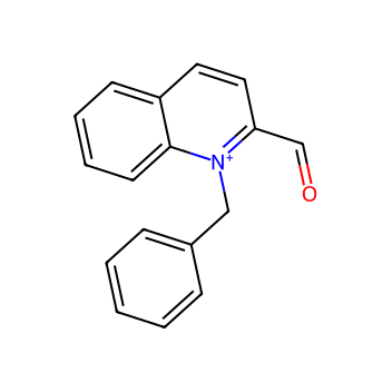 O=Cc1ccc2ccccc2[n+]1Cc1ccccc1